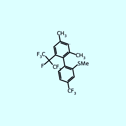 CSc1cc(C(F)(F)F)ccc1-c1c(C)[c]c(C)cc1C(F)(C(F)(F)F)C(F)(F)F